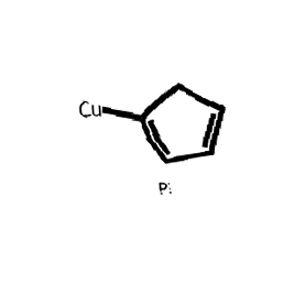 [Cu][C]1=CC=CC1.[P]